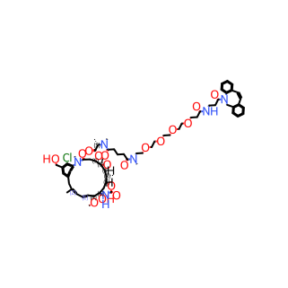 CO[C@@H]1/C=C/C=C(/C)Cc2cc(CO)c(Cl)c(c2)N(C)C(=O)C[C@H](OC(=O)[C@H](C)N(C)C(=O)CCCC(=O)N(C)CCOCCOCCOCCOCCC(=O)NCCC(=O)N2Cc3ccccc3C#Cc3ccccc32)[C@]2(C)O[C@H]2[C@H](C)[C@@H]2C[C@@]1(O)NC(=O)O2